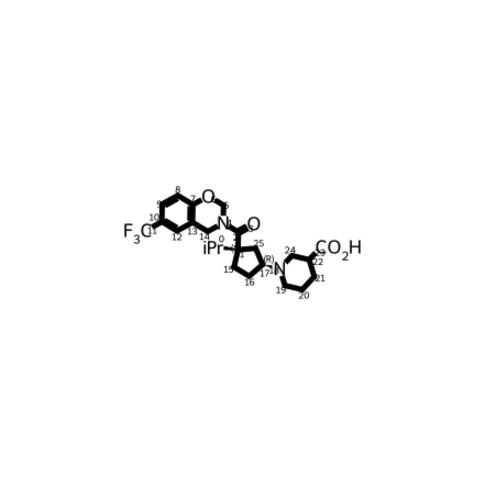 CC(C)[C@]1(C(=O)N2COc3ccc(C(F)(F)F)cc3C2)CC[C@@H](N2CCCC(C(=O)O)C2)C1